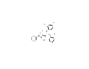 COc1ccc(CN(Cc2ccc(OC)cc2OC)c2ncnc3c(C4=CCCCC4)nn(C)c23)c(OC)c1